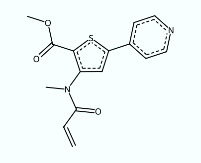 C=CC(=O)N(C)c1cc(-c2ccncc2)sc1C(=O)OC